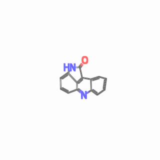 O=C1Nc2cccc3nc4ccccc4c1c23